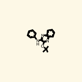 CC(C)(C)Oc1nc2ccccc2nc1Nc1ccccc1